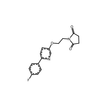 O=C1CCC(=O)N1CCOc1ccc(-c2ccc(F)cc2)nc1